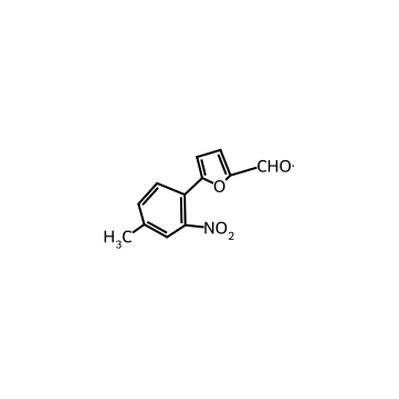 Cc1ccc(-c2ccc([C]=O)o2)c([N+](=O)[O-])c1